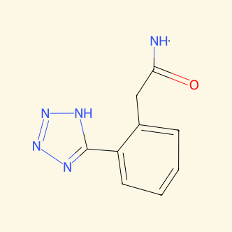 [NH]C(=O)Cc1ccccc1-c1nnn[nH]1